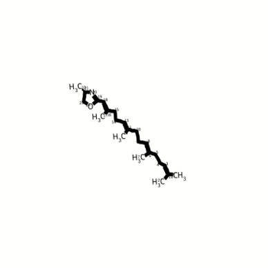 CC(C)=CCC/C(C)=C/CC/C(C)=C/CC/C(C)=C/C1=N[C@H](C)CO1